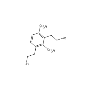 CC(C)CCc1ccc(C(=O)O)c(CCC(C)C)c1C(=O)O